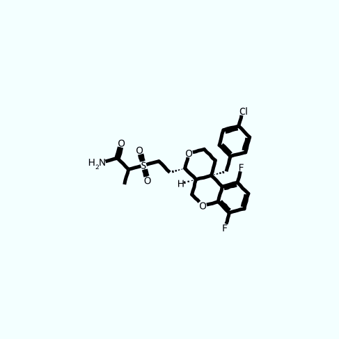 CC(C(N)=O)S(=O)(=O)CC[C@@H]1OCC[C@@]2(Cc3ccc(Cl)cc3)c3c(F)ccc(F)c3OC[C@@H]12